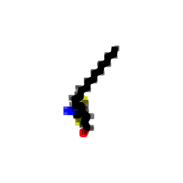 CCCCCCCCCCCc1cc2[nH]c3sc(C=O)cc3c2s1